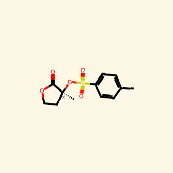 Cc1ccc(S(=O)(=O)O[C@@]2(C)CCOC2=O)cc1